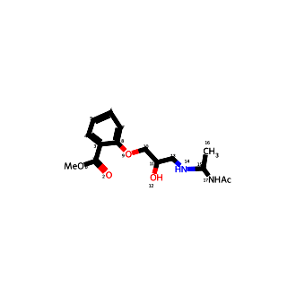 COC(=O)c1ccccc1OCC(O)CNC(C)NC(C)=O